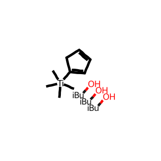 CCC(C)O.CCC(C)O.CCC(C)O.[CH3][Ti]([CH3])([CH3])([CH3])[C]1=CC=CC1